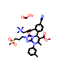 COC(=O)C1=C(C)N(c2cccc(C)c2)c2nn(CCCS(C)(=O)=O)c(=O)n2C1c1ccc(C#N)cc1C#CC[N+](C)(C)C.O=CO